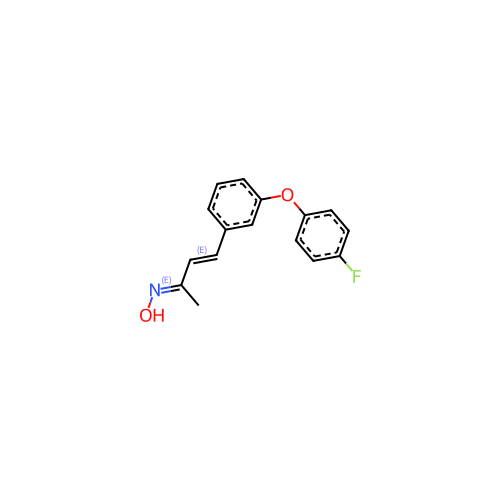 CC(/C=C/c1cccc(Oc2ccc(F)cc2)c1)=N\O